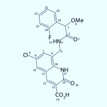 COC(C(=O)NCc1cc(Cl)cc2cc(C(=O)O)c(=O)[nH]c12)c1ccccc1F